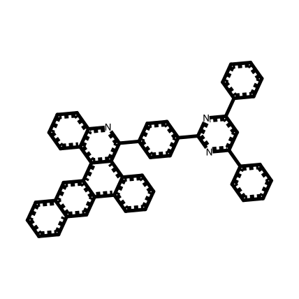 c1ccc(-c2cc(-c3ccccc3)nc(-c3ccc(-c4nc5ccccc5c5c6cc7ccccc7cc6c6ccccc6c45)cc3)n2)cc1